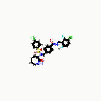 O=C(NCc1c(F)ccc(Cl)c1F)c1ccc(CN([C@@H]2CCCCNC2=O)S(=O)(=O)c2ccc(Cl)cc2)cc1